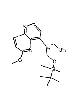 COc1ccc2nccc([C@H](CO)CO[Si](C)(C)C(C)(C)C)c2n1